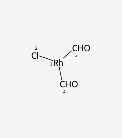 O=[CH][Rh]([Cl])[CH]=O